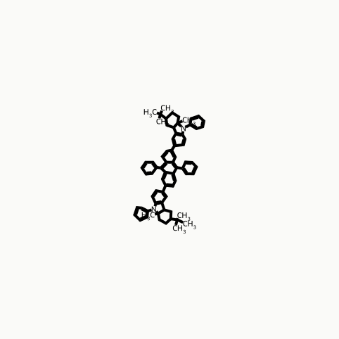 CC(C)(C)C1CCC2(C)C(C1)c1cc(-c3ccc4c(-c5ccccc5)c5cc(-c6ccc7c(c6)C6CC(C(C)(C)C)CCC6(C)N7c6ccccc6)ccc5c(-c5ccccc5)c4c3)ccc1N2c1ccccc1